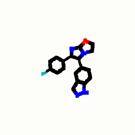 Fc1ccc(-c2nc3occn3c2-c2ccc3[nH]ncc3c2)cc1